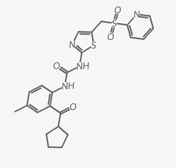 Cc1ccc(NC(=O)Nc2ncc(CS(=O)(=O)c3ccccn3)s2)c(C(=O)C2CCCC2)c1